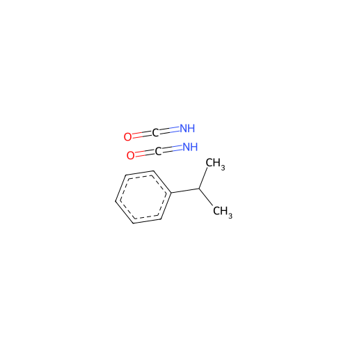 CC(C)c1ccccc1.N=C=O.N=C=O